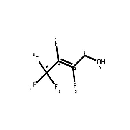 OCC(F)=C(F)C(F)(F)F